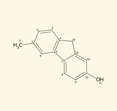 Cc1ccc2c(c1)-c1ccc(O)cc1C2